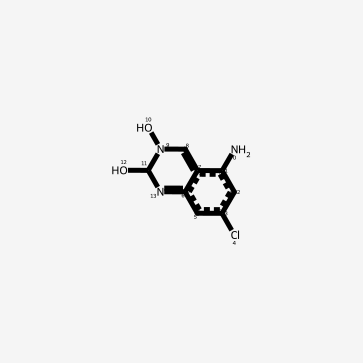 Nc1cc(Cl)cc2c1=CN(O)C(O)N=2